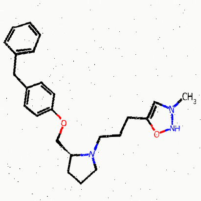 CN1C=C(CCCN2CCC[C@H]2COc2ccc(Cc3ccccc3)cc2)ON1